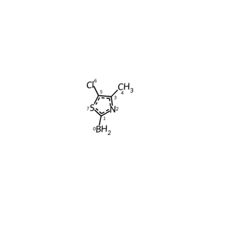 Bc1nc(C)c(Cl)s1